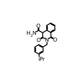 CC(C)c1cccc(CN2C(=O)c3ccccc3C(C(N)=O)C2=O)c1